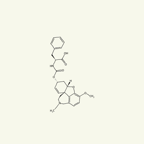 COc1ccc2c3c1O[C@H]1C[C@@H](OC(=O)N[C@@H](Cc4ccccc4)C(=O)O)C=C[C@@]31CCN(C)C2